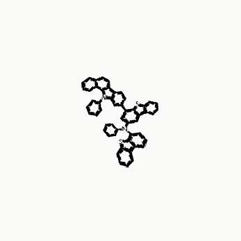 c1ccc(N(c2cc(-c3ccc4c5ccc6ccccc6c5n(-c5ccccc5)c4c3)c3sc4ccccc4c3c2)c2cccc3c2sc2ccccc23)cc1